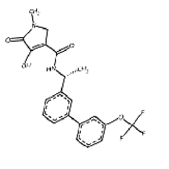 C[C@@H](NC(=O)C1=C(O)C(=O)N(C)C1)c1cccc(-c2cccc(OC(F)(F)F)c2)c1